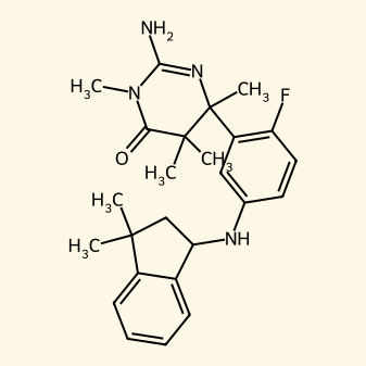 CN1C(=O)C(C)(C)C(C)(c2cc(NC3CC(C)(C)c4ccccc43)ccc2F)N=C1N